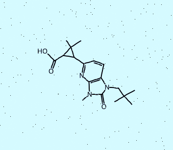 Cn1c(=O)n(CC(C)(C)C)c2ccc(C3C(C(=O)O)C3(C)C)nc21